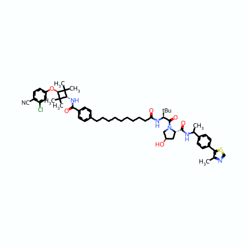 Cc1ncsc1-c1ccc(C(C)NC(=O)[C@@H]2C[C@@H](O)CN2C(=O)[C@@H](NC(=O)CCCCCCCCCc2ccc(C(=O)N[C@H]3C(C)(C)[C@H](Oc4ccc(C#N)c(Cl)c4)C3(C)C)cc2)C(C)(C)C)cc1